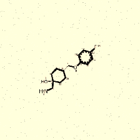 NC[C@]1(O)CC[C@H](COc2ccc(F)cc2)CC1